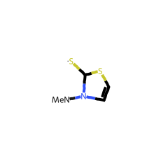 CNN1C=CSC1[S]